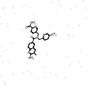 Cc1cc2cc(C(=O)N(Cc3ccc(C(N)=O)nc3)Cc3ccc(C(F)(F)F)cn3)ccc2nc1N